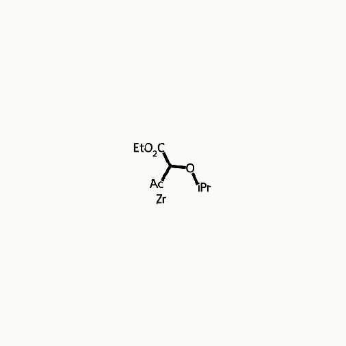 CCOC(=O)C(OC(C)C)C(C)=O.[Zr]